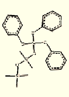 C[Si](C)(C)O[Si](C)(C)O[Si](Oc1ccccc1)(Oc1ccccc1)Oc1ccccc1